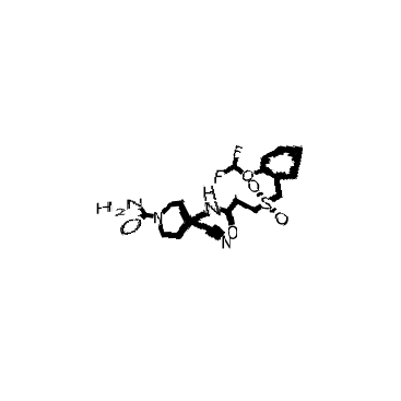 N#CC1(NC(=O)[CH]CS(=O)(=O)Cc2ccccc2OC(F)F)CCN(C(N)=O)CC1